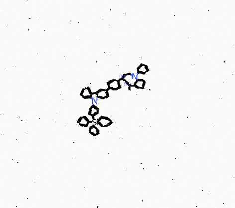 C/C1=C\C(c2ccc(-c3ccc4c(c3)c3ccccc3n4-c3ccc([Si](c4ccccc4)(c4ccccc4)c4ccccc4)cc3)cc2)=C/CN(c2ccccc2)c2ccccc21